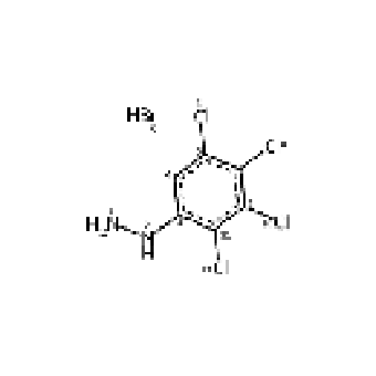 Br.NNc1cc(Cl)c(Cl)c(Cl)c1Cl